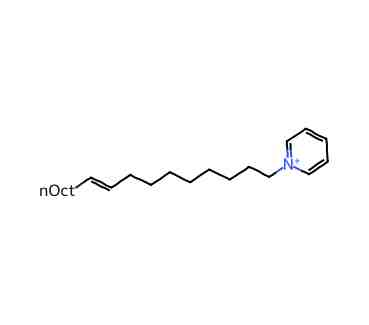 CCCCCCCCC=CCCCCCCCC[n+]1ccccc1